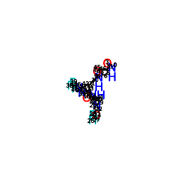 CNC(=O)c1ccc(NCC#Cc2cc(C(=O)N[C@H]3CCN(CCOC(F)(F)F)C[C@@H]3C)c3ncn(CC(F)(F)F)c3c2)c(OC)c1